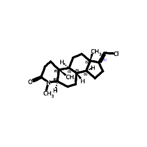 CN1C(=O)CC[C@]2(C)[C@H]3CC[C@]4(C)/C(=C/Cl)CC[C@H]4[C@@H]3CC[C@@H]12